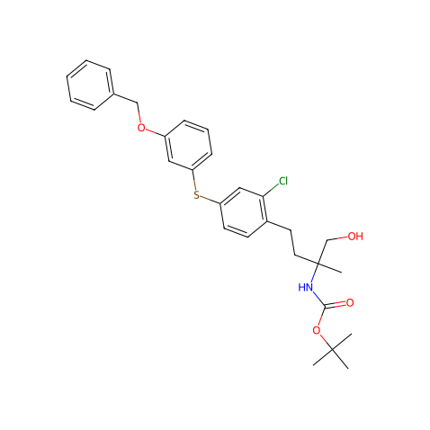 CC(CO)(CCc1ccc(Sc2cccc(OCc3ccccc3)c2)cc1Cl)NC(=O)OC(C)(C)C